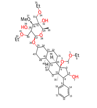 CCOCO[C@@]12CC(O)C(c3ccccc3)[C@@]1(C)CC[C@@H]1[C@H]2CCC2CC(O[C@@H]3O[C@H](C)[C@](O)(COCC)[C@H](OC)[C@]3(O)COCC)CC[C@@]21C